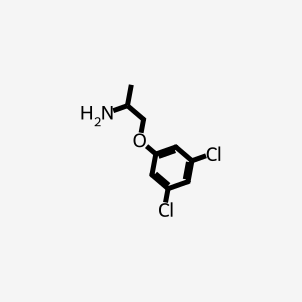 CC(N)COc1cc(Cl)cc(Cl)c1